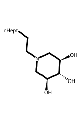 CCCCCCCCCN1C[C@@H](O)[C@H](O)[C@@H](O)C1